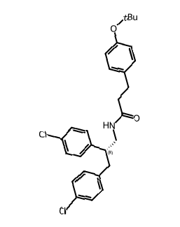 CC(C)(C)Oc1ccc(CCC(=O)NC[C@H](Cc2ccc(Cl)cc2)c2ccc(Cl)cc2)cc1